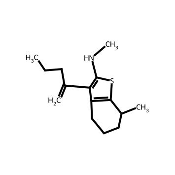 C=C(CCC)c1c(NC)sc2c1CCCC2C